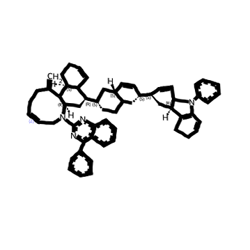 C=C1CC/C=C\CN(c2nc(-c3ccccc3)c3ccccc3n2)[C@@H]2C[C@H]([C@H]3CCC4C[C@@H]([C@H]5C=CC6[C@H](C5)C5=C(C=CCC5)N6c5ccccc5)C=C[C@H]4C3)C3C=CCC[C@@H]3C12